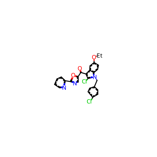 CCOc1ccc2c(c1)c(C(=O)c1cnc(-c3ccccn3)o1)c(Cl)n2Cc1ccc(Cl)cc1